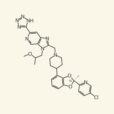 COC(C)Cn1c(CN2CCC(c3cccc4c3O[C@@](C)(c3ccc(Cl)cn3)O4)CC2)nc2cc(-c3nnn[nH]3)ncc21